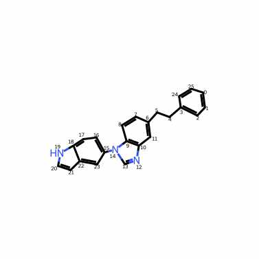 c1ccc(CCc2ccc3c(c2)ncn3-c2ccc3[nH]ccc3c2)cc1